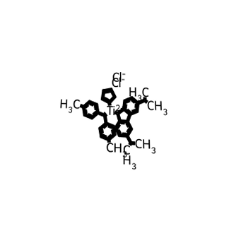 Cc1ccc([C](c2ccc(C)cc2)=[Ti+2]([C]2=CC=CC2)[CH]2c3ccc(C(C)C)cc3-c3cc(C(C)C)ccc32)cc1.[Cl-].[Cl-]